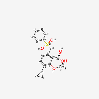 COc1c(C2CC2)ccc(CS(=O)(=O)c2ccccc2)c1C(=O)O